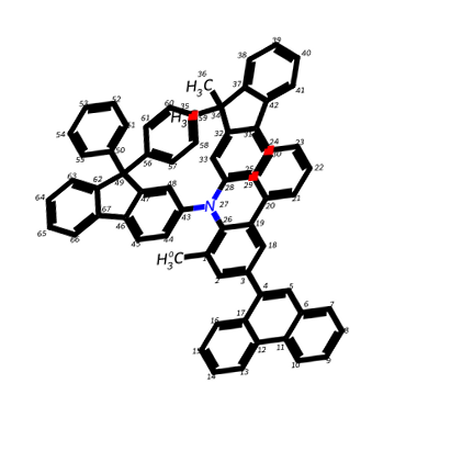 Cc1cc(-c2cc3ccccc3c3ccccc23)cc(-c2ccccc2)c1N(c1ccc2c(c1)C(C)(C)c1ccccc1-2)c1ccc2c(c1)C(c1ccccc1)(c1ccccc1)c1ccccc1-2